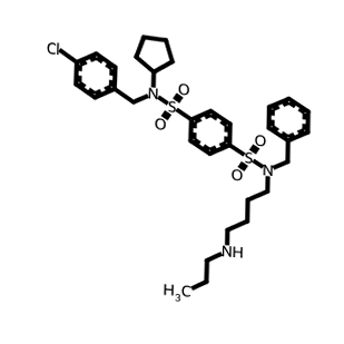 CCCNCCCCN(Cc1ccccc1)S(=O)(=O)c1ccc(S(=O)(=O)N(Cc2ccc(Cl)cc2)C2CCCC2)cc1